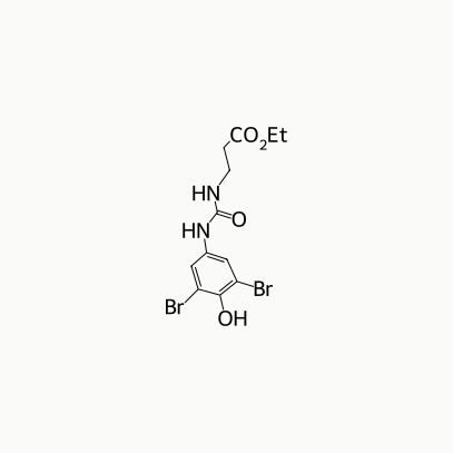 CCOC(=O)CCNC(=O)Nc1cc(Br)c(O)c(Br)c1